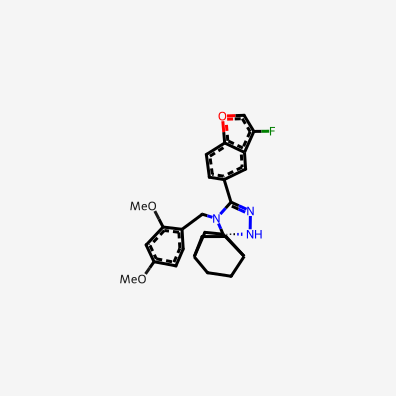 COc1ccc(CN2C(c3ccc4occ(F)c4c3)=NN[C@]23CC2CCC3CC2)c(OC)c1